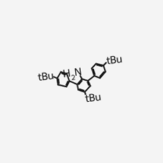 CC(C)(C)c1ccc(-c2cc(C(C)(C)C)cc(-c3ccc(C(C)(C)C)cc3)c2N)cc1